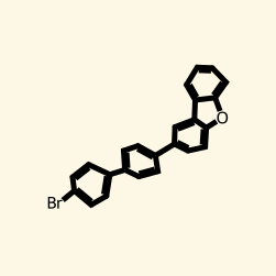 Brc1ccc(-c2ccc(-c3ccc4oc5ccccc5c4c3)cc2)cc1